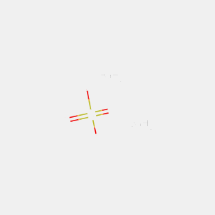 O=S(=O)(O)O.[BaH2].[BaH2]